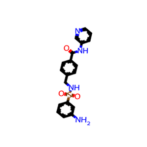 Nc1cccc(S(=O)(=O)NCc2ccc(C(=O)Nc3cccnc3)cc2)c1